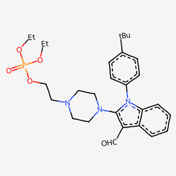 CCOP(=O)(OCC)OCCN1CCN(c2c(C=O)c3ccccc3n2-c2ccc(C(C)(C)C)cc2)CC1